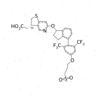 CS(=O)(=O)CCCOc1cc(C(F)(F)F)c(-c2cccc3c2CCC3Oc2cc3c(cn2)[C@H](CC(=O)O)CS3)c(C(F)(F)F)c1